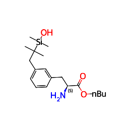 CCCCOC(=O)[C@@H](N)Cc1cccc(CC(C)(C)[Si](C)(C)O)c1